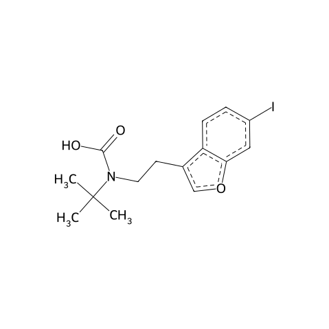 CC(C)(C)N(CCc1coc2cc(I)ccc12)C(=O)O